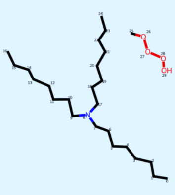 CCCCCCCCN(CCCCCCCC)CCCCCCCC.COOOO